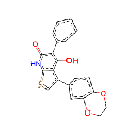 O=c1[nH]c2scc(-c3ccc4c(c3)OCCO4)c2c(O)c1-c1ccccc1